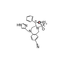 C[C@H](c1ccccc1)C1CN(Cc2c[nH]cn2)c2ccc(C#N)cc2CN1S(C)(=O)=O